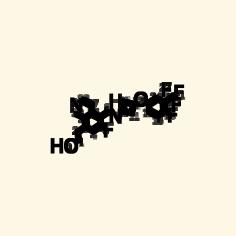 OCCc1cc(F)c(CNC2CC(Oc3ccc(F)c(C(F)(F)F)c3)C2)c2ccncc12